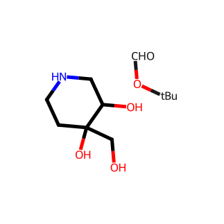 CC(C)(C)OC=O.OCC1(O)CCNCC1O